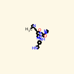 CC1=C(C#Cc2cc3cnc(Nc4ccc(C5CCNC5)cc4)nc3n(Cc3ccoc3-n3cccn3)c2=O)N=CC1